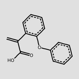 C=C(C(=O)O)c1ccccc1Oc1ccccc1